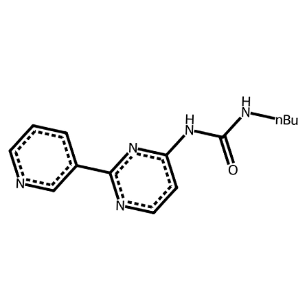 CCCCNC(=O)Nc1ccnc(-c2cccnc2)n1